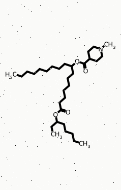 CCCCCCCCCC(CCCCCCC(=O)OC(CC)CCCCC)OC(=O)C1CCN(C)CC1